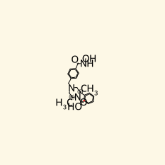 C[C@@H]1CN(Cc2ccc(C(=O)NO)cc2)C[C@](C)(c2ccccc2)N1C(=O)O